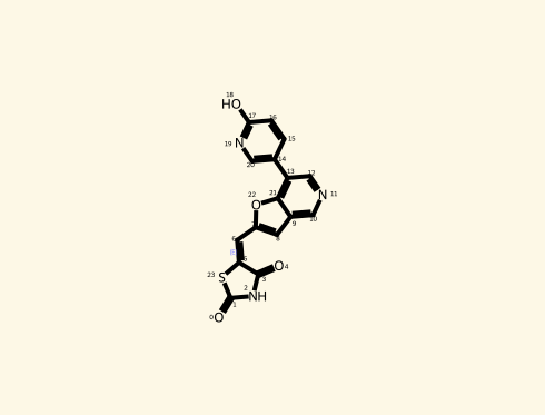 O=C1NC(=O)/C(=C\c2cc3cncc(-c4ccc(O)nc4)c3o2)S1